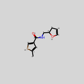 Cc1cc(C(=O)NCC2CC=CO2)cs1